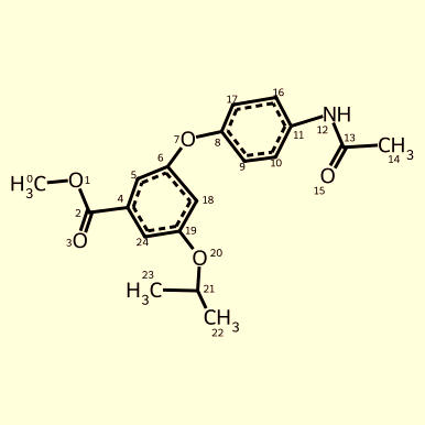 COC(=O)c1cc(Oc2ccc(NC(C)=O)cc2)cc(OC(C)C)c1